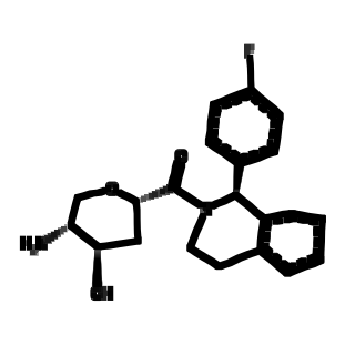 N[C@@H]1CO[C@H](C(=O)N2CCc3ccccc3[C@@H]2c2ccc(F)cc2)C[C@H]1O